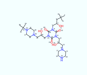 CC(C)(C)CC(O)Cn1c(=O)n(CC(O)CN2CCNCC2)c(=O)n(CC(O)CN2CCN(C(C)(C)C)CC2)c1=O